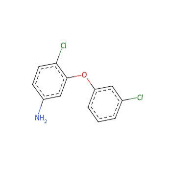 Nc1ccc(Cl)c(Oc2cccc(Cl)c2)c1